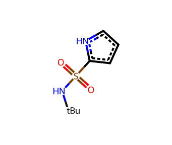 CC(C)(C)NS(=O)(=O)c1ccc[nH]1